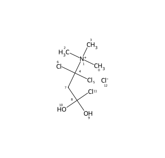 C[N+](C)(C)C(Cl)(Cl)CC(O)(O)Cl.[Cl-]